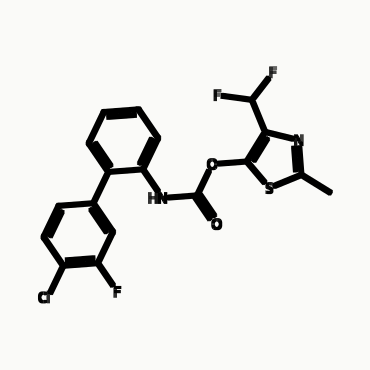 Cc1nc(C(F)F)c(OC(=O)Nc2ccccc2-c2ccc(Cl)c(F)c2)s1